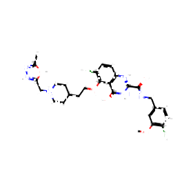 COc1cc(CNC(=O)c2nc3ccc(F)c(OCCC4CCN(Cc5nnc(C)o5)CC4)c3c(=O)[nH]2)ccc1F